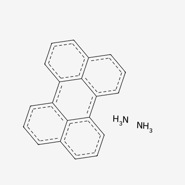 N.N.c1cc2cccc3c4cccc5cccc(c(c1)c23)c54